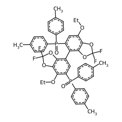 CCOc1cc(P(=O)(c2ccc(C)cc2)c2ccc(C)cc2)c(-c2cc(P(=O)(c3ccc(C)cc3)c3ccc(C)cc3)c(OCC)c3c2OC(F)(F)O3)c2c1OC(F)(F)O2